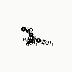 CC(=O)O.CN1CCN([C@H]2CC[C@@H](n3nc(-c4ccc(N5CC(c6ccccc6)OC5=O)cc4)c4c(N)ncnc43)CC2)CC1